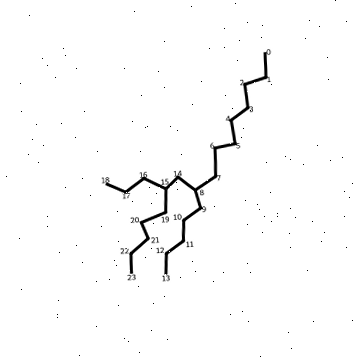 CCCCCCCCC(CCCCC)CC(CCC)CCCCC